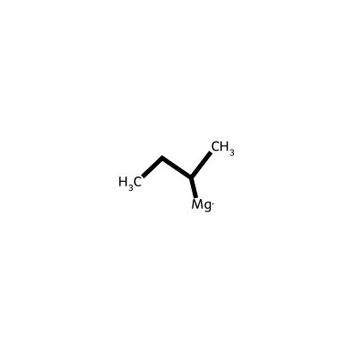 CC[CH](C)[Mg]